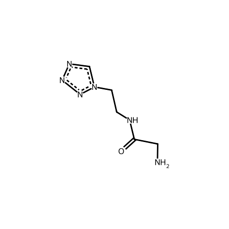 NCC(=O)NCCn1cnnn1